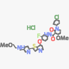 COCCNCc1ccc(-c2cc3nccc(Oc4ccc(NC(=O)c5c(OC)ccn(-c6ccc(Cl)cc6)c5=O)cc4F)c3s2)nc1.Cl